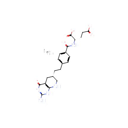 Nc1nc(=O)c2c([nH]1)NC[C@H](CCc1ccc(C(=O)N[C@@H](CCC(=O)[O-])C(=O)[O-])cc1)C2.[Na+].[Na+]